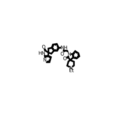 CCN1CCC2(CC1)C(=O)N(CC(=O)Nc1ccc3c(c1)CC1(C3)C(=O)Nc3ncccc31)c1ccccc12